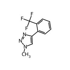 Cn1cc(-c2ccccc2C(F)(F)F)nn1